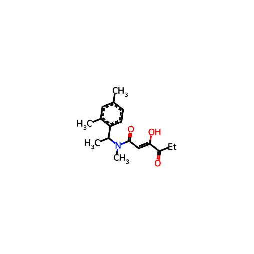 CCC(=O)/C(O)=C/C(=O)N(C)C(C)c1ccc(C)cc1C